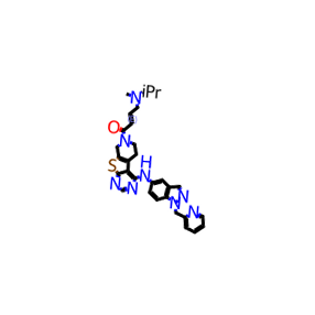 CC(C)N(C)C/C=C/C(=O)N1CCc2c(sc3ncnc(Nc4ccc5c(cnn5Cc5ccccn5)c4)c23)C1